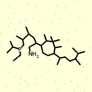 CCP(CC(C)C(C)CC(CN)C1CCC(C(C)CCC(C)C(C)C)C(C)C(C)(C)C1C)C(C)C